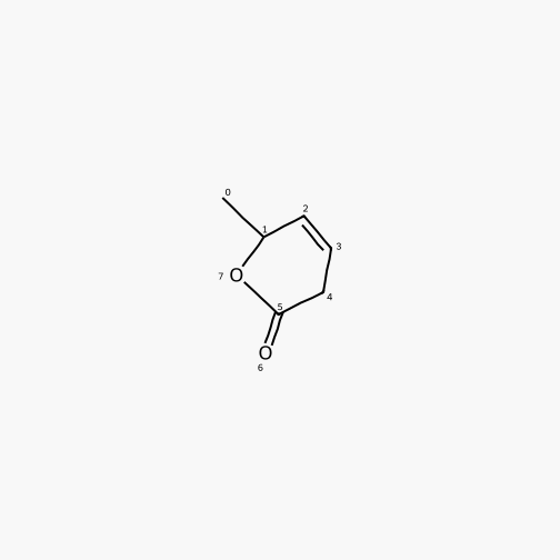 CC1C=CCC(=O)O1